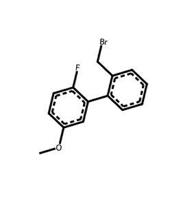 COc1ccc(F)c(-c2ccccc2CBr)c1